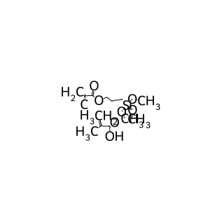 C=C(C)C(=O)O.C=C(C)C(=O)OCCC[Si](OC)(OC)OC